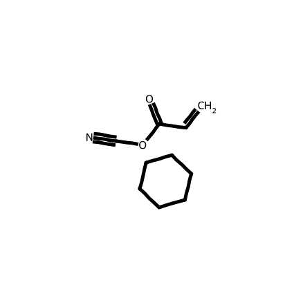 C1CCCCC1.C=CC(=O)OC#N